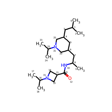 CC(C)CC1CC(CC(C)NC(=O)C2CN(C(C)C)C2)CN(C(C)C)C1